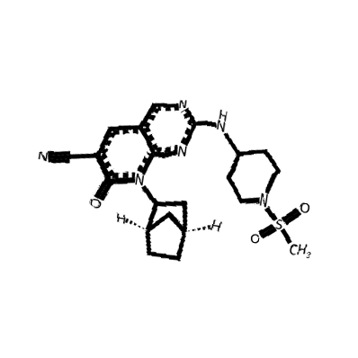 CS(=O)(=O)N1CCC(Nc2ncc3cc(C#N)c(=O)n(C4C[C@H]5CC[C@@H]4C5)c3n2)CC1